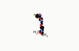 CC1CN(Cc2ccc(OCCCN3CCC(c4noc5cc(F)ccc45)CC3)cc2)CC(C)O1